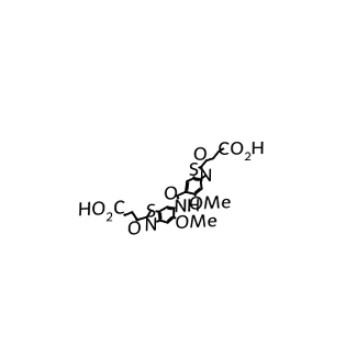 COc1cc2nc(C(=O)CCC(=O)O)sc2cc1NC(=O)c1cc2sc(C(=O)CCC(=O)O)nc2cc1OC